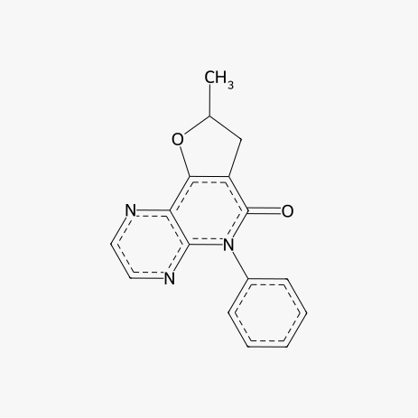 CC1Cc2c(c3nccnc3n(-c3ccccc3)c2=O)O1